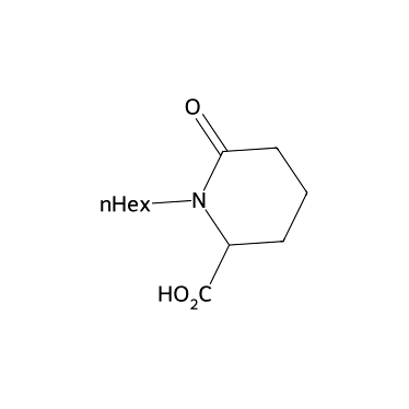 CCCCCCN1C(=O)CCCC1C(=O)O